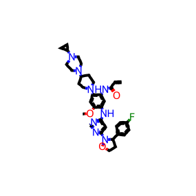 C=CC(=O)Nc1cc(Nc2cc(N3OCCC3c3ccc(F)cc3)ncn2)c(OC)cc1N1CCC(N2CCN(C3CC3)CC2)CC1